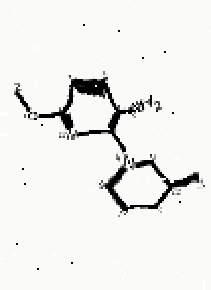 COc1ccc(N)c(N2CCCC(C)C2)n1